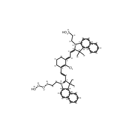 CC1(C)C(/C=C/C2=C(Cl)C(=C/C=C3/N(CCS(=O)(=O)O)c4ccc5ccccc5c4C3(C)C)/CCC2)=[N+](CCSOOO)c2ccc3ccccc3c21